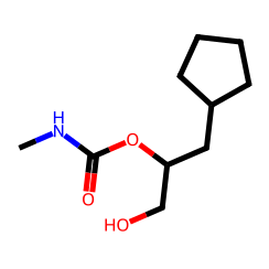 CNC(=O)OC(CO)CC1CCCC1